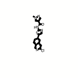 Cn1cc(C(=O)Nc2ncc(-c3ccc4cnc(Cl)cc4c3)s2)cn1